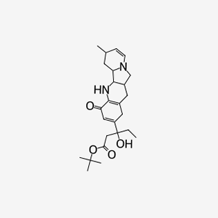 CCC(O)(CC(=O)OC(C)(C)C)C1=CC(=O)C2=C(C1)CC1CN3C=CC(C)CC3C1N2